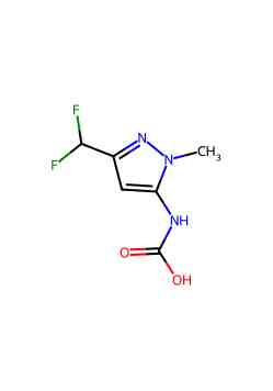 Cn1nc(C(F)F)cc1NC(=O)O